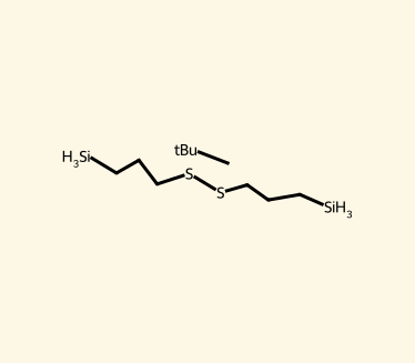 CC(C)(C)C.[SiH3]CCCSSCCC[SiH3]